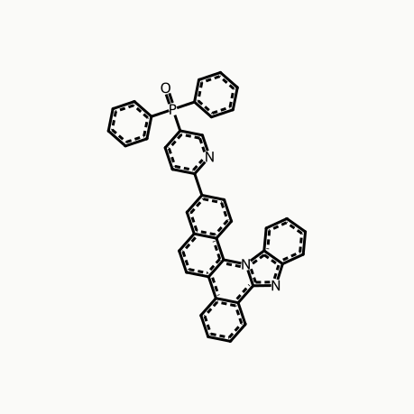 O=P(c1ccccc1)(c1ccccc1)c1ccc(-c2ccc3c(ccc4c5ccccc5c5nc6ccccc6n5c34)c2)nc1